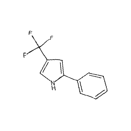 FC(F)(F)c1c[nH]c(-c2ccccc2)c1